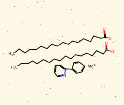 CCCCCCCCCCCCCCCCCC(=O)[O-].CCCCCCCCCCCCCCCCCC(=O)[O-].[Mg+2].c1ccc(-c2ccccn2)cc1